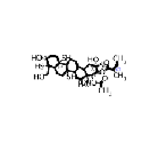 C/C=C(/C)C(=O)O[C@H]1[C@H](OC(C)=O)[C@@]2(CO)C(C[C@]1(O)S)C1=CCC3[C@@](S)(CCC4[C@]3(S)CC[C@H](O)[C@]4(S)CO)C1C[C@H]2O